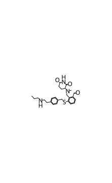 CCCNCCc1ccc(CSc2cccc(C=O)c2CN(C)C2CCC(=O)NC2=O)cc1